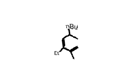 C=C(C)/C(=C\C(C)CCCC)CC